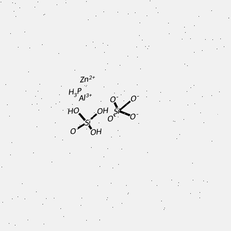 P.[Al+3].[O-][Si](O)(O)O.[O-][Si]([O-])([O-])[O-].[Zn+2]